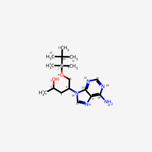 CC(O)CC(CO[Si](C)(C)C(C)(C)C)n1cnc2c(N)ncnc21